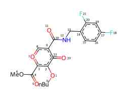 CCCCOc1c(C(=O)OC)occ(C(=O)NCc2ccc(F)cc2F)c1=O